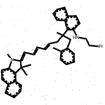 Cc1ccccc1CC(C)(C/C=C/C=C/C=C1/N(C)c2ccc3ccccc3c2C1(C)C)c1c(NCCC(C)C)ccc2ccccc12